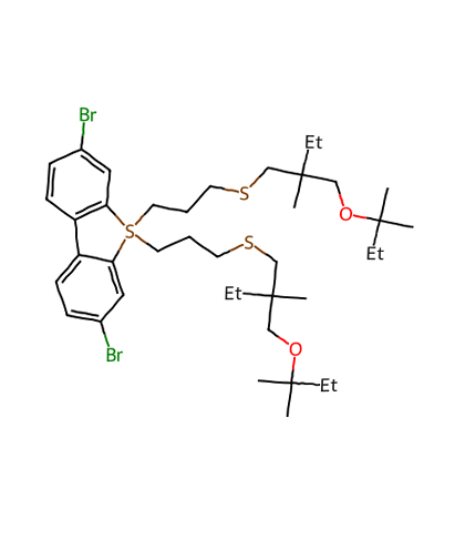 CCC(C)(COC(C)(C)CC)CSCCCS1(CCCSCC(C)(CC)COC(C)(C)CC)c2cc(Br)ccc2-c2ccc(Br)cc21